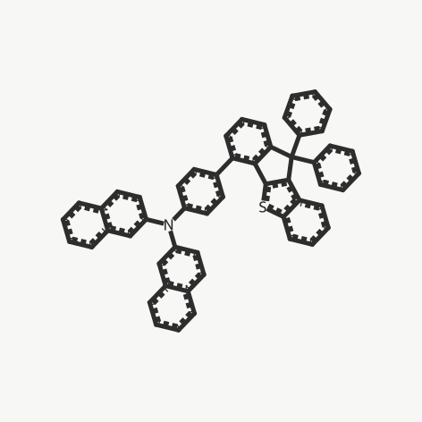 c1ccc(C2(c3ccccc3)c3cccc(-c4ccc(N(c5ccc6ccccc6c5)c5ccc6ccccc6c5)cc4)c3-c3sc4ccccc4c32)cc1